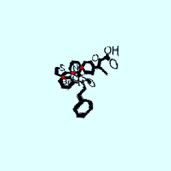 Cc1c(C(=O)O)oc2ccc(S(=O)(=O)N(CCc3ccccc3)c3ccccc3N3CC4CC(C3)N4C(=O)c3sccc3Br)cc12